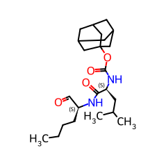 CCCC[C@@H](C=O)NC(=O)[C@H](CC(C)C)NC(=O)OC12CC3CC(CC(C3)C1)C2